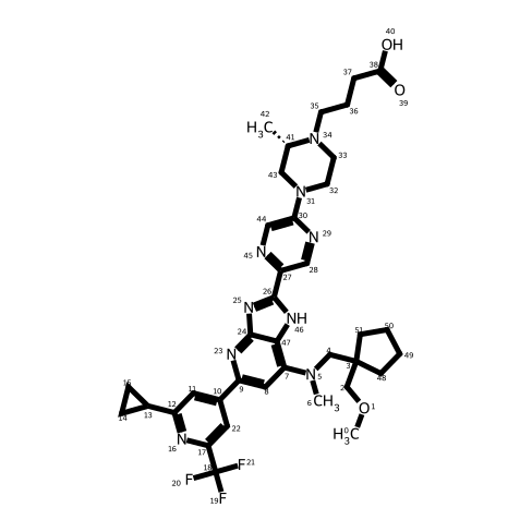 COCC1(CN(C)c2cc(-c3cc(C4CC4)nc(C(F)(F)F)c3)nc3nc(-c4cnc(N5CCN(CCCC(=O)O)[C@@H](C)C5)cn4)[nH]c23)CCCC1